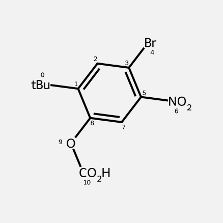 CC(C)(C)c1cc(Br)c([N+](=O)[O-])cc1OC(=O)O